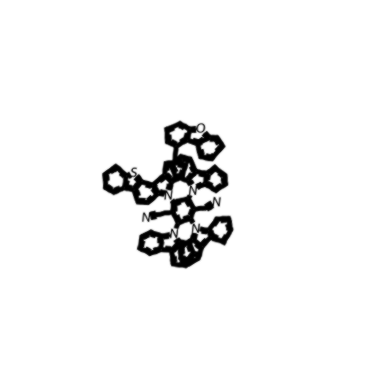 N#Cc1c(-n2c3ccccc3c3ccccc32)c(-n2c3ccccc3c3ccccc32)c(C#N)c(-n2c3ccc(-c4cccc5oc6ccccc6c45)cc3c3c4sc5ccccc5c4ccc32)c1-n1c2ccccc2c2ccccc21